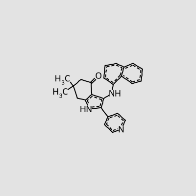 CC1(C)CC(=O)c2c([nH]c(-c3ccncc3)c2Nc2cccc3ccccc23)C1